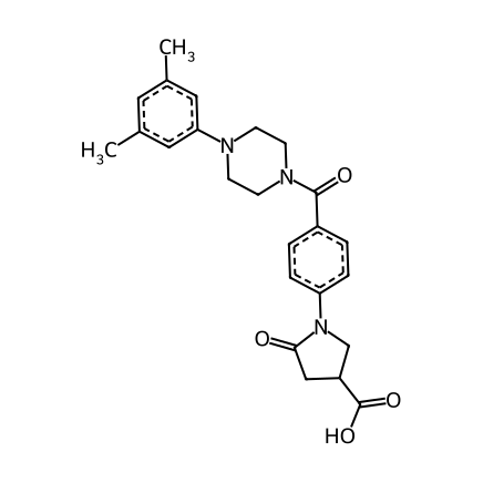 Cc1cc(C)cc(N2CCN(C(=O)c3ccc(N4CC(C(=O)O)CC4=O)cc3)CC2)c1